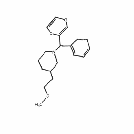 COCCC1CCCN(C(C2=CC=CCC2)C2=COC=CO2)C1